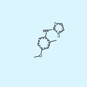 COc1ccc(Nc2ncc[nH]2)c(C)c1